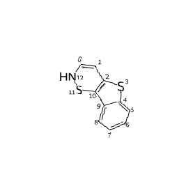 C1=Cc2sc3ccccc3c2SN1